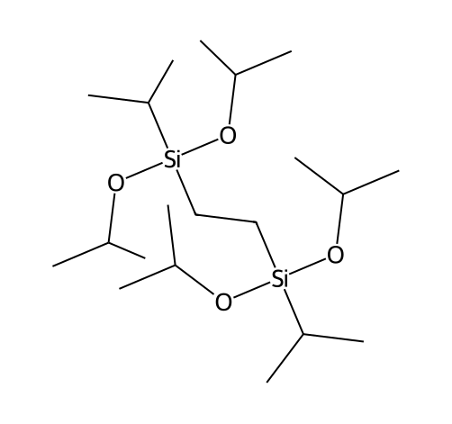 CC(C)O[Si](CC[Si](OC(C)C)(OC(C)C)C(C)C)(OC(C)C)C(C)C